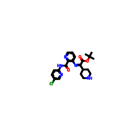 CC(C)(C)OC(=O)C(=Nc1cccnc1C(=O)Nc1ccc(Cl)cn1)C1CCNCC1